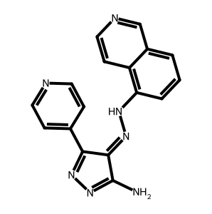 NC1=NN=C(c2ccncc2)/C1=N\Nc1cccc2cnccc12